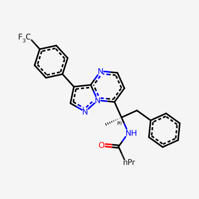 CCCC(=O)N[C@](C)(Cc1ccccc1)c1ccnc2c(-c3ccc(C(F)(F)F)cc3)cnn12